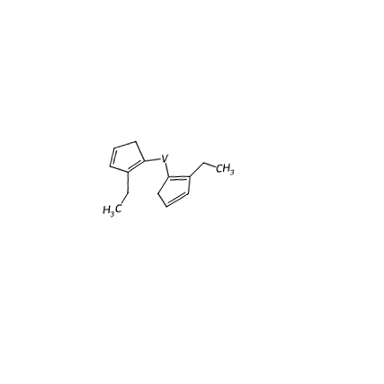 CCC1=[C]([V][C]2=C(CC)C=CC2)CC=C1